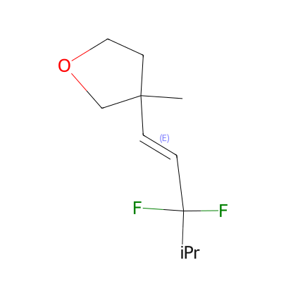 CC(C)C(F)(F)/C=C/C1(C)CCOC1